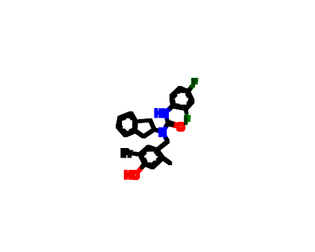 Cc1cc(O)c(C(C)C)cc1CN(C(=O)Nc1ccc(F)cc1F)C1Cc2ccccc2C1